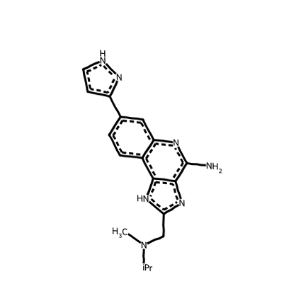 CC(C)N(C)Cc1nc2c(N)nc3cc(-c4cc[nH]n4)ccc3c2[nH]1